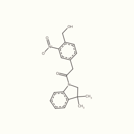 CC1(C)CN(C(=O)Cc2ccc(CO)c([N+](=O)[O-])c2)c2ccccc21